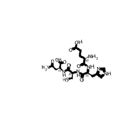 NC(=O)C[C@H](NC(=O)[C@H](CS)NC(=O)[C@H](Cc1c[nH]cn1)NC(=O)[C@@H](N)CCC(=O)O)C(=O)O